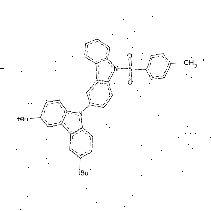 Cc1ccc(S(=O)(=O)n2c3ccccc3c3cc(-n4c5ccc(C(C)(C)C)cc5c5cc(C(C)(C)C)ccc54)ccc32)cc1